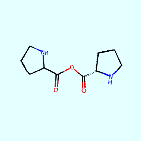 O=C(OC(=O)[C@@H]1CCCN1)C1CCCN1